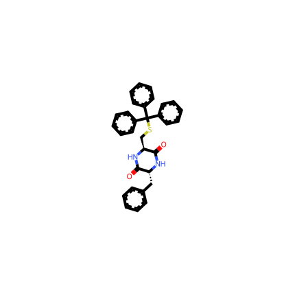 O=C1N[C@H](Cc2ccccc2)C(=O)N[C@H]1CSC(c1ccccc1)(c1ccccc1)c1ccccc1